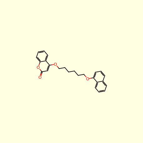 O=c1cc(OCCCCCCOc2cccc3ccccc23)c2ccccc2o1